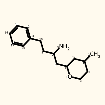 CC1CCOC(CC(N)CCc2ccccc2)C1